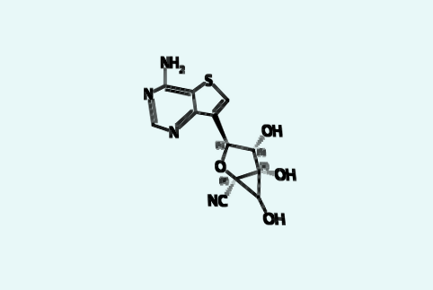 N#C[C@]12O[C@@H](c3csc4c(N)ncnc34)[C@H](O)[C@@]1(O)C2O